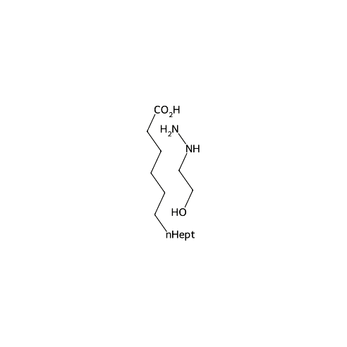 CCCCCCCCCCCCC(=O)O.NNCCO